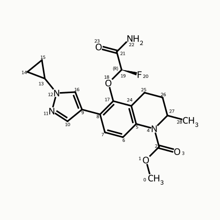 COC(=O)N1c2ccc(-c3cnn(C4CC4)c3)c(O[C@H](F)C(N)=O)c2CCC1C